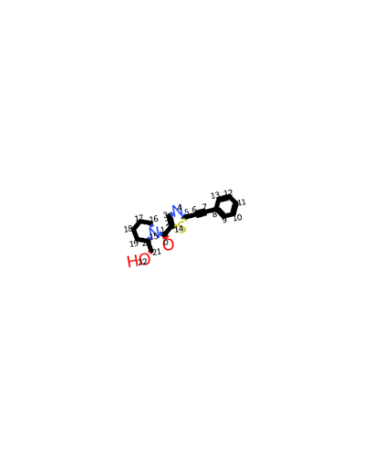 O=C(c1cnc(C#Cc2ccccc2)s1)N1CCCCC1CO